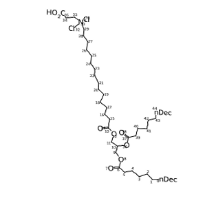 CCCCCCCCCCCCCCCC(=O)OCC(COC(=O)CCCCCCCCCCCCCCC[N+](Cl)(Cl)CCC(=O)O)OC(=O)CCCCCCCCCCCCCCC